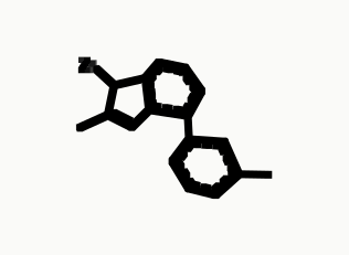 CC1=Cc2c(-c3cccc(C)c3)cccc2[CH]1[Zr]